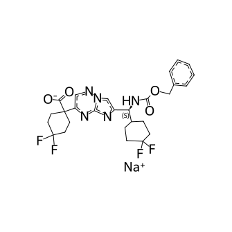 O=C(N[C@H](c1cn2ncc(C3(C(=O)[O-])CCC(F)(F)CC3)nc2n1)C1CCC(F)(F)CC1)OCc1ccccc1.[Na+]